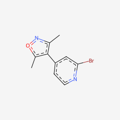 Cc1noc(C)c1-c1ccnc(Br)c1